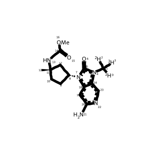 [2H]C([2H])([2H])n1c(=O)n([C@@H]2CC[C@](C)(NC(=O)OC)C2)c2cc(N)ncc21